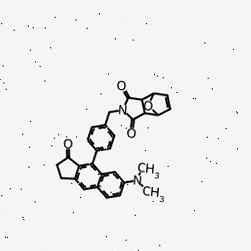 CN(C)c1ccc2cc3c(c(-c4ccc(CN5C(=O)C6C7C=CC(O7)C6C5=O)cc4)c2c1)C(=O)CC3